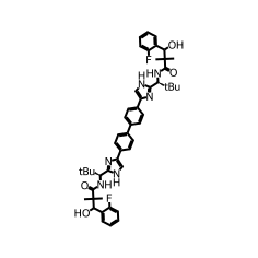 CC(C)(C(=O)N[C@H](c1nc(-c2ccc(-c3ccc(-c4c[nH]c([C@@H](NC(=O)C(C)(C)C(O)c5ccccc5F)C(C)(C)C)n4)cc3)cc2)c[nH]1)C(C)(C)C)C(O)c1ccccc1F